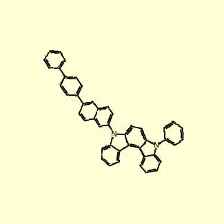 c1ccc(-c2ccc(-c3ccc4cc(-n5c6ccccc6c6c7c8ccccc8n(-c8ccccc8)c7ccc65)ccc4c3)cc2)cc1